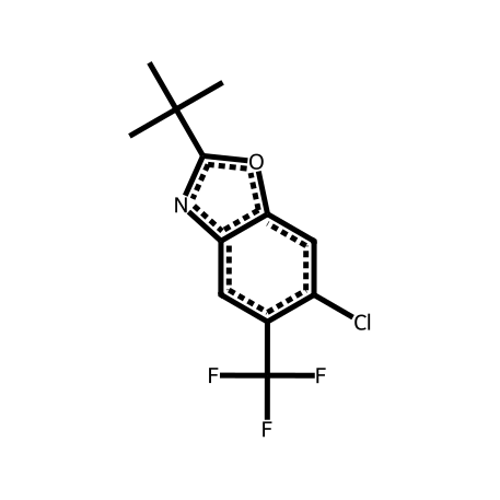 CC(C)(C)c1nc2cc(C(F)(F)F)c(Cl)cc2o1